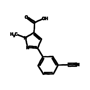 Cn1nc(-c2cccc(C#N)c2)cc1C(=O)O